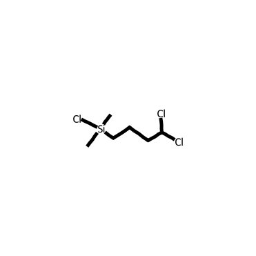 C[Si](C)(Cl)CCCC(Cl)Cl